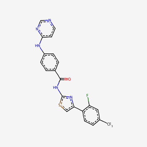 O=C(Nc1nc(-c2ccc(C(F)(F)F)cc2F)cs1)c1ccc(Nc2ccncn2)cc1